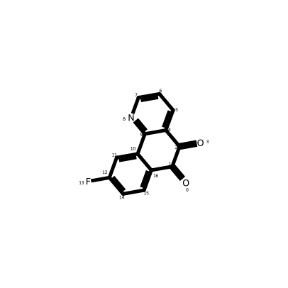 O=C1C(=O)c2cccnc2-c2cc(F)ccc21